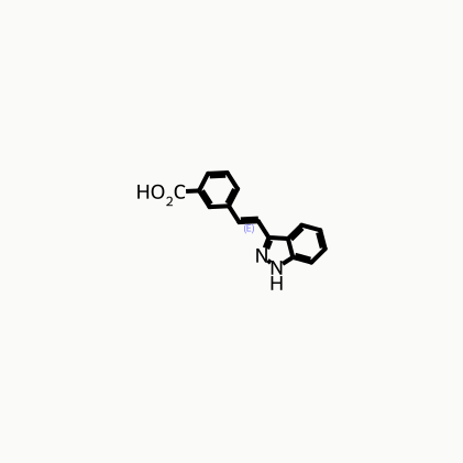 O=C(O)c1cccc(/C=C/c2n[nH]c3ccccc23)c1